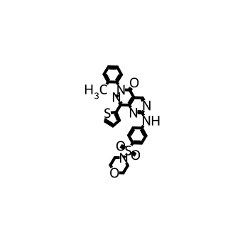 Cc1ccccc1-n1nc(-c2cccs2)c2nc(Nc3ccc(S(=O)(=O)N4CCOCC4)cc3)ncc2c1=O